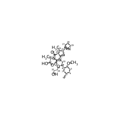 COc1ccc(F)cc1[C@H](Cn1c(=O)n(C(C)C(=O)O)c(=O)c2c(C)c(-n3cccn3)sc21)OCCO